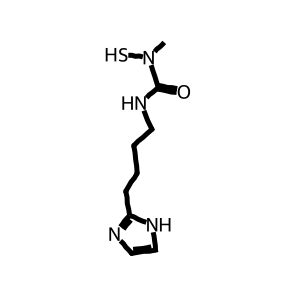 CN(S)C(=O)NCCCCc1ncc[nH]1